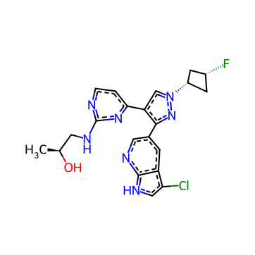 C[C@H](O)CNc1nccc(-c2cn([C@H]3C[C@@H](F)C3)nc2-c2cnc3[nH]cc(Cl)c3c2)n1